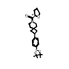 CC1(C)OB(c2ccc(C3CC4(CCN(C(=O)[C@H]5CCCO5)CC4)C3)cc2)OC1(C)C